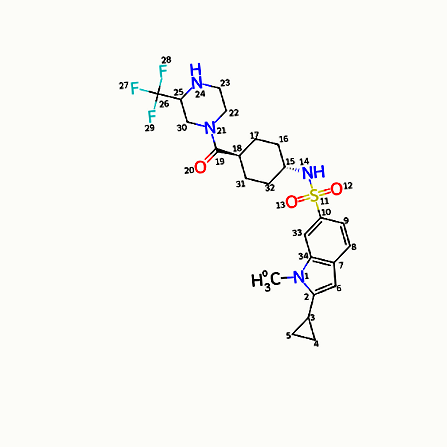 Cn1c(C2CC2)cc2ccc(S(=O)(=O)N[C@H]3CC[C@H](C(=O)N4CCNC(C(F)(F)F)C4)CC3)cc21